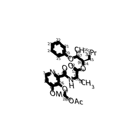 COc1ccnc(C(=O)N[C@@H](C)C(=O)O[C@H](CC(C)C)[C@@H](C)Oc2ccccc2)c1OCOC(C)=O